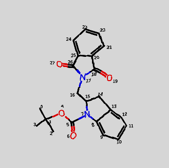 CC(C)(C)OC(=O)N1c2ccccc2CC1CN1C(=O)c2ccccc2C1=O